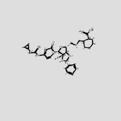 O=C(Nc1ccn([C@@H]2O[C@H](COCC3CCCCC3C(=O)O)C3O[C@H](c4ccccc4)O[C@@H]32)c(=O)n1)NC1CC1